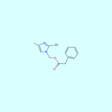 CCc1nc(C)cn1COC(=O)Cc1ccccc1